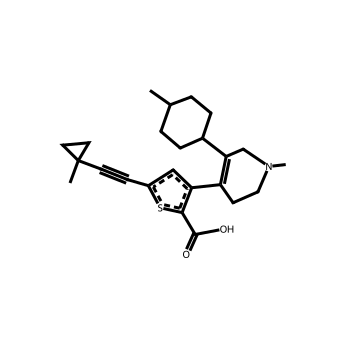 CC1CCC(C2=C(c3cc(C#CC4(C)CC4)sc3C(=O)O)CCN(C)C2)CC1